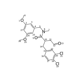 COc1cc(CN(C)C(=O)C(CC=O)Cc2ccc(Cl)c(Cl)c2)cc(OC)c1